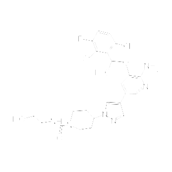 CC(Oc1cc(-c2cnn(C3CCN(C(=O)NCCO)CC3)c2)cnc1N)c1c(Cl)ccc(F)c1Cl